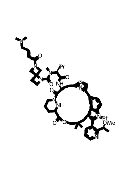 CCn1c(-c2cccnc2[C@H](C)OC)c2c3cc(ccc31)-c1csc(n1)C[C@H](NC(=O)[C@H](C(C)C)N(C)C(=O)N1CCC13CN(C(=O)/C=C/CN(C)C)C3)C(=O)N1CCCC(N1)C(=O)OCC(C)(C)C2